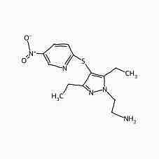 CCc1nn(CCN)c(CC)c1Sc1ccc([N+](=O)[O-])cn1